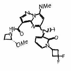 CNc1cc(Nc2cccn(C3CC(F)(F)C3)c2=O)nc2c(C(=O)NN3CC[C@H]3OC)cnn12